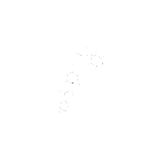 CN(C(=O)CCc1ccc(N=C(N)c2cccs2)cc1)c1ccccc1